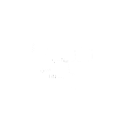 O=C1Nc2ccccc2C(C2CCCCC2)=NN1c1ccccc1